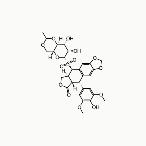 COc1cc([C@H]2c3cc4c(cc3[C@H](S(=O)(=O)[C@@H]3O[C@@H]5COC(C)O[C@H]5[C@H](O)[C@H]3O)[C@@H]3COC(=O)[C@@H]23)OCO4)cc(OC)c1O